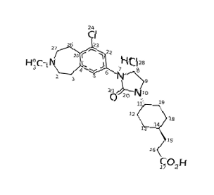 CN1CCc2cc(N3CCN([C@H]4CC[C@H](CCC(=O)O)CC4)C3=O)cc(Cl)c2CC1.Cl